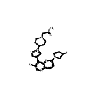 NC(=O)CN1CCC(n2cc(-c3c(F)cnc4ccc(N5CCC(F)C5)nc34)cn2)CC1